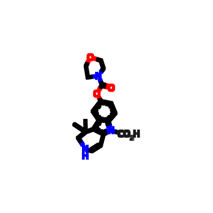 CC1(C)CNC=Cc2c1c1cc(OC(=O)N3CCOCC3)ccc1n2C(=O)O